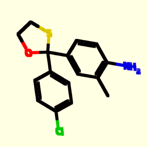 Cc1cc(C2(c3ccc(Cl)cc3)OCCS2)ccc1N